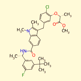 COC(=O)[C@@H](C)Oc1cc(Cc2c(C)n(C)c3cc(C(=O)N[C@@H](C)c4cc(F)cc(C(C)(C)C)c4)ccc23)ccc1Cl